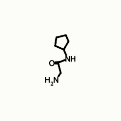 NCC(=O)NC1CCCC1